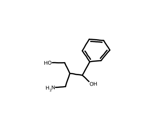 NCC(CO)C(O)c1ccccc1